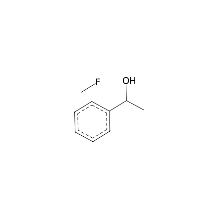 CC(O)c1ccccc1.CF